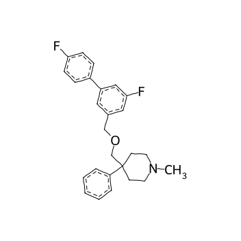 CN1CCC(COCc2cc(F)cc(-c3ccc(F)cc3)c2)(c2ccccc2)CC1